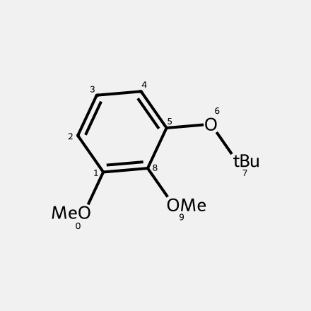 COc1cccc(OC(C)(C)C)c1OC